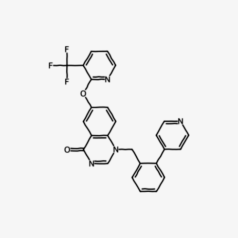 O=c1ncn(Cc2ccccc2-c2ccncc2)c2ccc(Oc3ncccc3C(F)(F)F)cc12